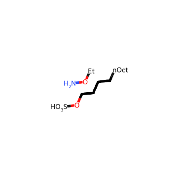 CCCCCCCCCCCCOS(=O)(=O)O.CCON